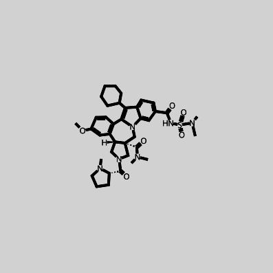 COc1ccc2c(c1)[C@H]1CN(C(=O)[C@@H]3CCCN3C)C[C@]1(C(=O)N(C)C)Cn1c-2c(C2CCCCC2)c2ccc(C(=O)NS(=O)(=O)N(C)C)cc21